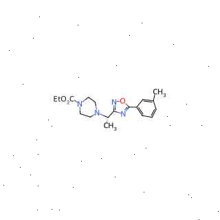 CCOC(=O)N1CCN([C@@H](C)c2noc(-c3cccc(C)c3)n2)CC1